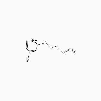 CCCCOC1C=C(Br)C=CN1